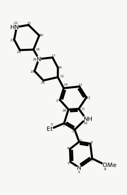 CCc1c(-c2ccnc(OC)c2)[nH]c2ccc(C3CCN(C4CCNCC4)CC3)cc12